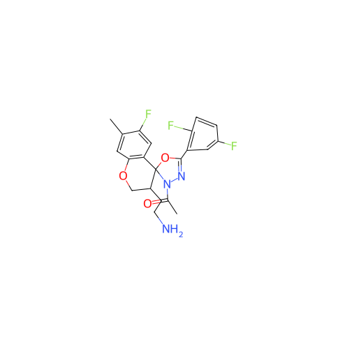 CC(=O)N1N=C(c2cc(F)ccc2F)OC12c1cc(F)c(C)cc1OCC2CCN